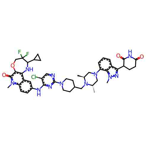 C[C@H]1CN(c2cccc3c(C4CCC(=O)NC4=O)nn(C)c23)C[C@H](C)N1CC1CCN(c2ncc(Cl)c(Nc3ccc4c(c3)c3c(c(=O)n4C)OCC(F)(F)C(C4CC4)N3)n2)CC1